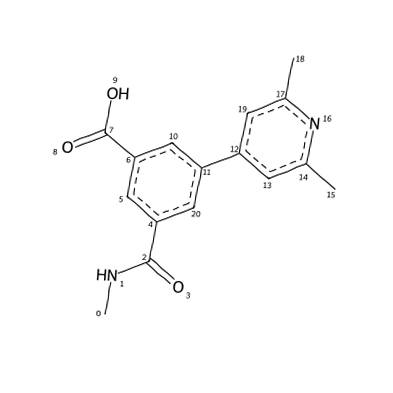 CNC(=O)c1cc(C(=O)O)cc(-c2cc(C)nc(C)c2)c1